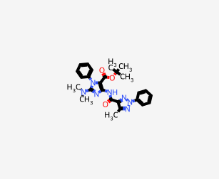 Cc1nn(-c2ccccc2)nc1C(=O)Nc1nc(N(C)C)n(-c2ccccc2)c1C(=O)OC(C)(C)C